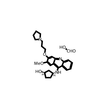 COc1cc2c(N[C@@H]3CC[C@@H](O)C3)c3ccccc3nc2cc1OCCCN1CCCC1.O=CO